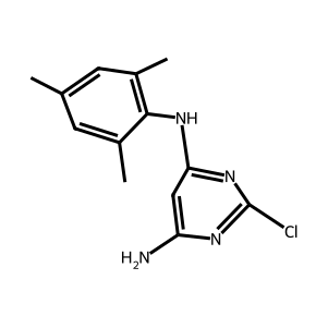 Cc1cc(C)c(Nc2cc(N)nc(Cl)n2)c(C)c1